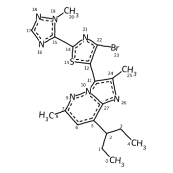 CCC(CC)c1cc(C)nn2c(-c3sc(-c4ncnn4C)nc3Br)c(C)nc12